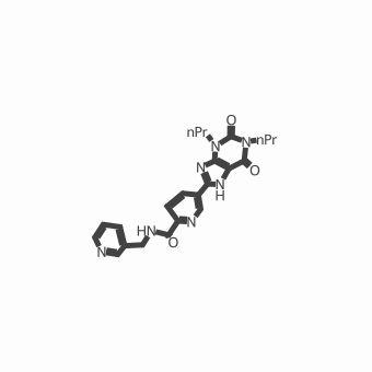 CCCn1c(=O)c2[nH]c(-c3ccc(C(=O)NCc4cccnc4)nc3)nc2n(CCC)c1=O